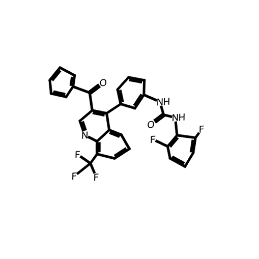 O=C(Nc1cccc(-c2c(C(=O)c3ccccc3)cnc3c(C(F)(F)F)cccc23)c1)Nc1c(F)cccc1F